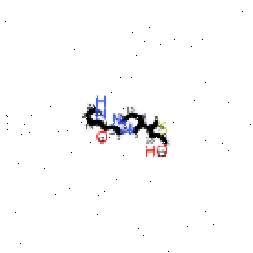 O=C(c1cn2cc(-c3csc(CO)c3)ccc2n1)C1CCCN1